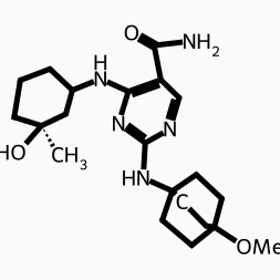 COC12CCC(Nc3ncc(C(N)=O)c(NC4CCC[C@](C)(O)C4)n3)(CC1)CC2